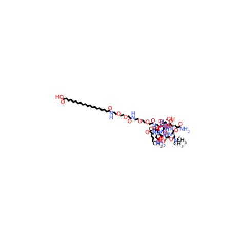 CCCC[C@H](NC(=O)CCNC(=O)[C@H](CO)NC(=O)[C@H](CCC(N)=O)NC(=O)[C@H](CCN(C)C)NC(=O)[C@H](CO)NC(=O)[C@H](CCC(N)=O)NC(=O)[C@@H](CO)NC(=O)CNC(=O)COCCOCCNC(=O)COCCOCCNC(=O)CCCCCCCCCCCCCCCCCCC(=O)O)C(C)=O